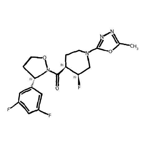 Cc1nnc(N2CC[C@H](C(=O)N3OCC[C@H]3c3cc(F)cc(F)c3)[C@H](F)C2)o1